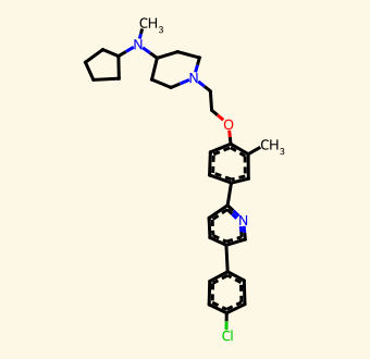 Cc1cc(-c2ccc(-c3ccc(Cl)cc3)cn2)ccc1OCCN1CCC(N(C)C2CCCC2)CC1